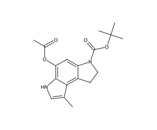 CC(=O)Oc1cc2c(c3c(C)c[nH]c13)CCN2C(=O)OC(C)(C)C